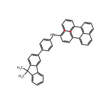 CC1(C)c2ccccc2-c2cc(-c3ccc(Nc4ccc(-c5cccc6cccc(-c7ccccc7)c56)cc4)cc3)ccc21